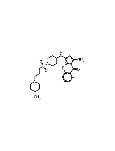 CC1CCN(CCCS(=O)(=O)N2CCC(Nc3nc(N)c(C(=O)c4c(F)cccc4F)s3)CC2)CC1